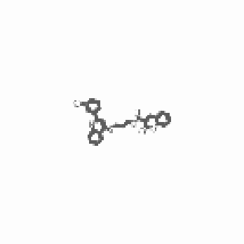 O=C(OCCCSc1cc(-c2cccc(Cl)c2)nc2ccccc12)c1cc2ccccc2oc1=O